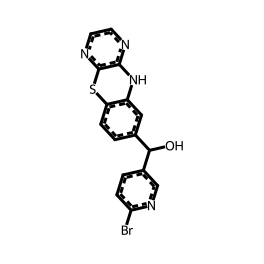 OC(c1ccc(Br)nc1)c1ccc2c(c1)Nc1nccnc1S2